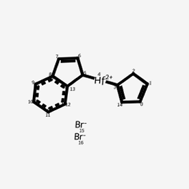 C1=CC[C]([Hf+2][CH]2C=Cc3ccccc32)=C1.[Br-].[Br-]